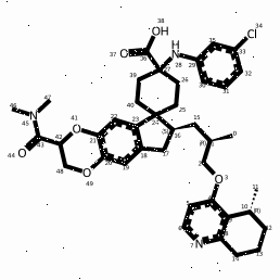 C[C@@H](COc1ccnc2c1[C@H](C)CCC2)C[C@H]1Cc2cc3c(cc2C12CCC(Nc1cccc(Cl)c1)(C(=O)O)CC2)OC(C(=O)N(C)C)CO3